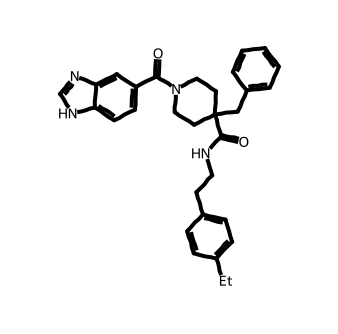 CCc1ccc(CCNC(=O)C2(Cc3ccccc3)CCN(C(=O)c3ccc4[nH]cnc4c3)CC2)cc1